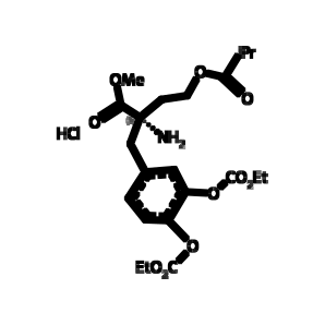 CCOC(=O)Oc1ccc(C[C@](N)(CCOC(=O)C(C)C)C(=O)OC)cc1OC(=O)OCC.Cl